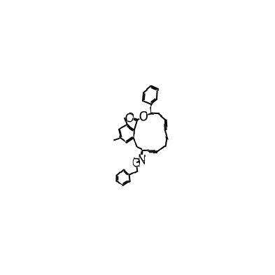 Cc1cc(C)c2c(c1)CC(=NOCc1ccccc1)/C=C/CC/C=C/C[C@H](c1ccccc1)OC2=O